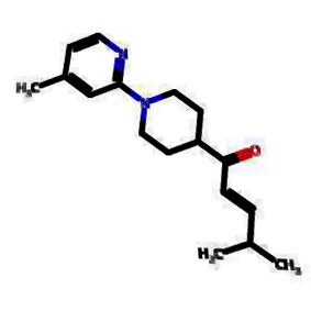 Cc1ccnc(N2CCC(C(=O)C=CC(C)C)CC2)c1